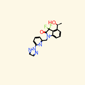 C[C@H](O)c1cccc2c1C(F)(F)C(=O)N2Cc1cccc(-n2nccn2)n1